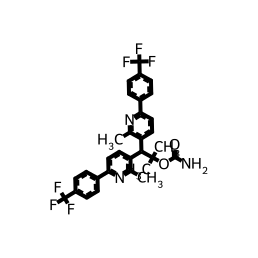 Cc1nc(-c2ccc(C(F)(F)F)cc2)ccc1C(c1ccc(-c2ccc(C(F)(F)F)cc2)nc1C)C(C)(C)OC(N)=O